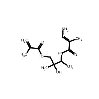 C=C(C)C(=O)OCC(C)(O)C(C)NC(=O)C(C)=CN